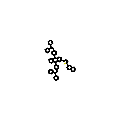 C1=CC(/C(=C/c2ccc(-c3c4ccccc4c(-c4ccc(C=C(c5ccccc5)c5ccccc5)cc4)c4cc(-c5ccc(-c6ccc7ccccc7c6)s5)ccc34)cc2)c2ccccc2)=CCC1